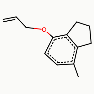 C=CCOc1ccc(C)c2c1CCC2